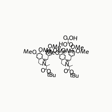 COc1ccc(C[C@@H]2c3cc(OC)c(OC)cc3CCN2C(C)C(=O)OC(C)(C)C)cc1OC.COc1ccc(C[C@@H]2c3cc(OC)c(OC)cc3CCN2C(C)C(=O)OC(C)(C)C)cc1OC.O=C(O)C(=O)O